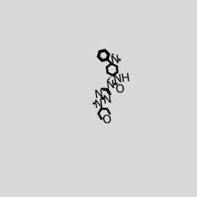 CN(c1ncc(N2C[C@]3(CC[C@](c4ccccc4)(N(C)C)CC3)NC2=O)cn1)C1CCOCC1